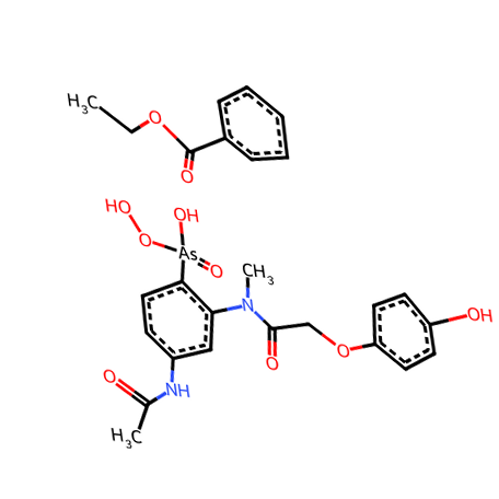 CC(=O)Nc1ccc([As](=O)(O)OO)c(N(C)C(=O)COc2ccc(O)cc2)c1.CCOC(=O)c1ccccc1